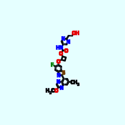 COc1cnc2c(-c3nc4cc(F)c(OC5CCC5OC(=O)Nc5cnc(CCO)nc5)cc4s3)cc(C)cc2n1